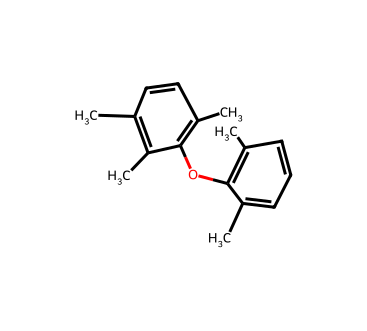 Cc1ccc(C)c(Oc2c(C)cccc2C)c1C